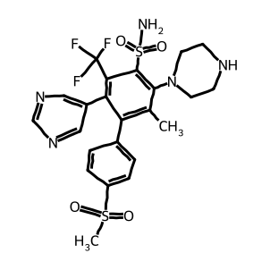 Cc1c(-c2ccc(S(C)(=O)=O)cc2)c(-c2cncnc2)c(C(F)(F)F)c(S(N)(=O)=O)c1N1CCNCC1